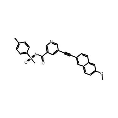 COc1ccc2cc(C#Cc3cncc(C(=O)N=S(C)(=O)c4ccc(C)cc4)c3)ccc2c1